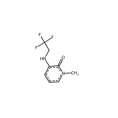 Cn1cccc(NCC(F)(F)F)c1=O